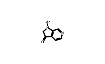 CC(=O)N1CC(=O)c2ccncc21